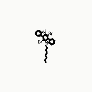 CCCCCCCCn1c2ccccc2c2c(Br)c3c(c(Br)c21)c1ccccc1n3C